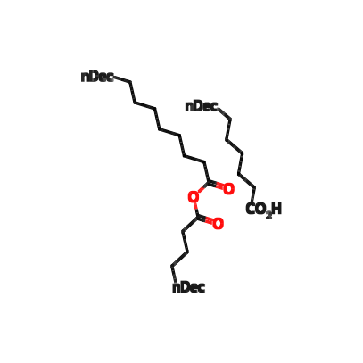 CCCCCCCCCCCCCCCC(=O)O.CCCCCCCCCCCCCCCCCC(=O)OC(=O)CCCCCCCCCCCCC